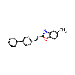 Cc1ccc2oc(/C=C/c3ccc(-c4ccccc4)cc3)nc2c1